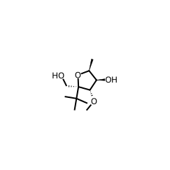 CO[C@H]1[C@H](O)[C@H](C)O[C@]1(CO)C(C)(C)C